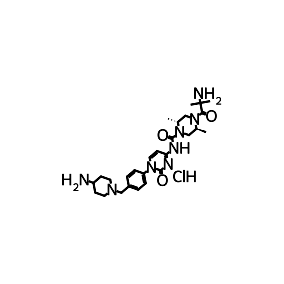 C[C@@H]1CN(C(=O)C(C)(C)N)[C@@H](C)CN1C(=O)Nc1ccn(-c2ccc(CN3CCC(N)CC3)cc2)c(=O)n1.Cl